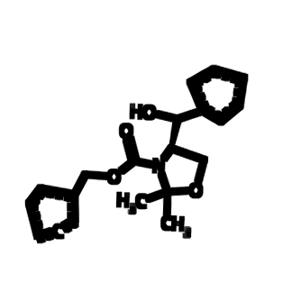 CC1(C)OC[C@H](C(O)c2ccccc2)N1C(=O)OCc1ccccc1